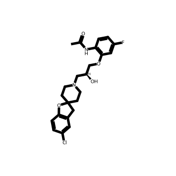 CC(=O)Nc1ccc(F)cc1OC[C@@H](O)CN1CCC2(CC1)Cc1cc(Cl)ccc1O2